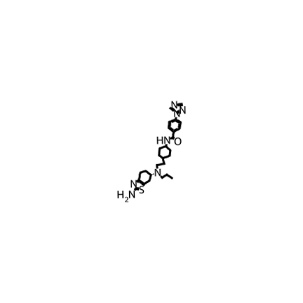 CCCN(CCC1CCC(NC(=O)c2ccc(-n3cncn3)cc2)CC1)[C@H]1CCc2nc(N)sc2C1